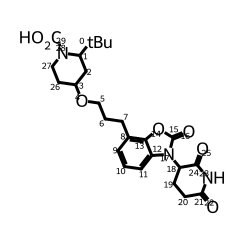 CC(C)(C)C1CC(OCCCc2cccc3c2oc(=O)n3C2CCC(=O)NC2=O)CCN1C(=O)O